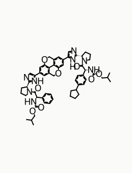 CC(C)COC(=O)N[C@@H](C(=O)N1CCC[C@H]1c1ncc(-c2cc3c4c(c2)OCc2cc(-c5cnc([C@@H]6CCCN6C(=O)[C@H](NC(=O)OCC(C)C)c6ccc(C7CCCC7)cc6)[nH]5)cc(c2-4)OC3)[nH]1)c1ccccc1